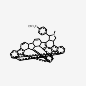 CCOC(=O)c1ccc(C2C3C4=c5c6c7c8c9c%10c%11c(c%12ccc%13c%14ccc%15c(c5c5c%15c%14c(c%13c%12%10)c9c75)C3CN2C)C=CC2C%11C=8C3C2C=CC4C63)cc1